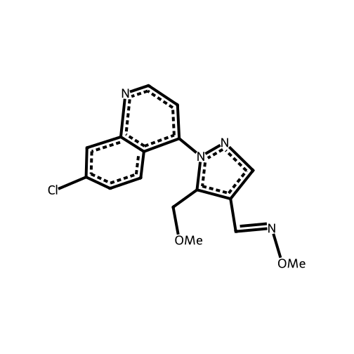 COCc1c(C=NOC)cnn1-c1ccnc2cc(Cl)ccc12